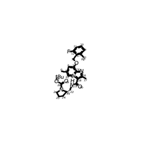 Cc1cc(OCc2c(F)cccc2F)c2nc(C)c(C(=O)NC[C@@H]3CCCN3C(=O)OC(C)(C)C)n2c1